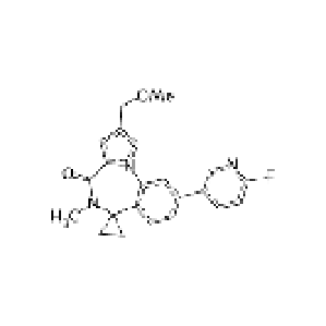 COCc1cc2n(c1)-c1cc(-c3ccc(F)nc3)ccc1C1(CC1)N(C)C2=O